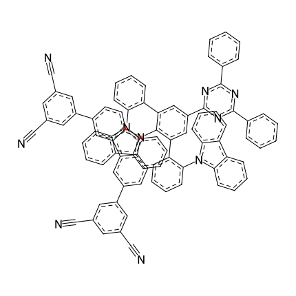 N#Cc1cc(C#N)cc(-c2ccc3c(c2)c2cc(-c4cc(C#N)cc(C#N)c4)ccc2n3-c2c(-c3ccccc3-n3c4ccccc4c4ccccc43)cc(-c3nc(-c4ccccc4)nc(-c4ccccc4)n3)cc2-c2ccccc2-n2c3ccccc3c3ccccc32)c1